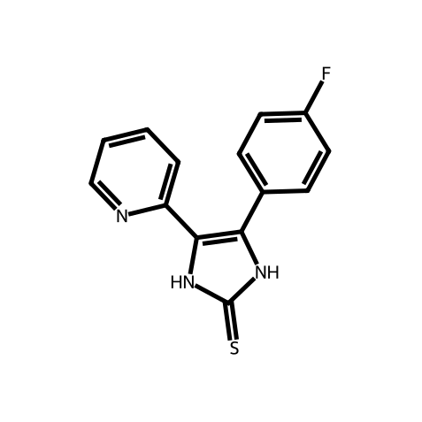 Fc1ccc(-c2[nH]c(=S)[nH]c2-c2ccccn2)cc1